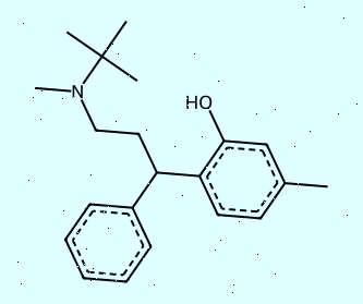 Cc1ccc(C(CCN(C)C(C)(C)C)c2ccccc2)c(O)c1